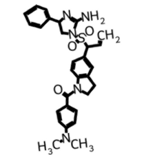 C=CC(c1ccc2c(c1)CCN2C(=O)c1ccc(N(C)C)cc1)S(=O)(=O)N1CC(c2ccccc2)N=C1N